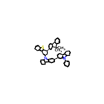 CC1(C)c2ccccc2-c2ccc(C3CC(n4c5ccccc5c5ccc(-c6ccc7c8ccccc8n(-c8ccccc8)c7c6)cc54)=Cc4c3sc3ccccc43)cc21